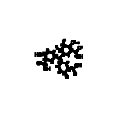 COc1c(C(=O)O)cc(C(=C2C=CC(=O)C(C(=O)O)=C2)c2ccc(O)c(C(=O)O)c2)c(C)c1C